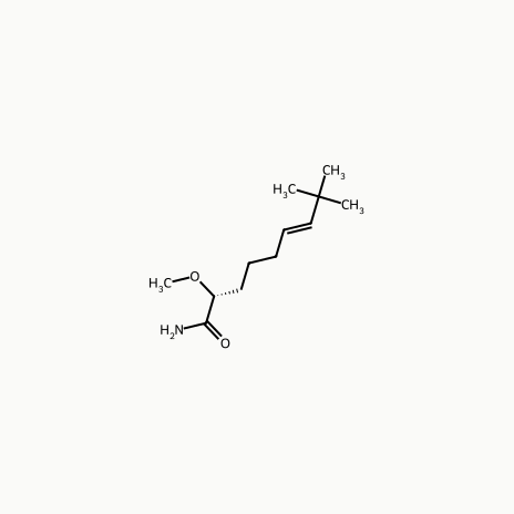 CO[C@H](CCC/C=C/C(C)(C)C)C(N)=O